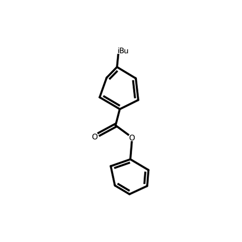 CCC(C)c1ccc(C(=O)Oc2ccccc2)cc1